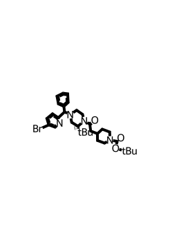 CC(C)(C)OC(=O)N1CCC(CC(=O)N2CCN(C(c3ccccc3)c3ccc(Br)cn3)C[C@@H]2C(C)(C)C)CC1